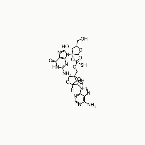 Nc1nc2c(ncn2[C@@]2(OP(=O)(S)OC[C@@]34CO[C@@H]([C@H](n5cnc6c(N)ncnc65)O3)[C@@H]4O)CO[C@H](CO)[C@H]2O)c(=O)[nH]1